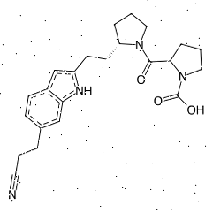 N#CCCc1ccc2cc(CC[C@@H]3CCCN3C(=O)C3CCCN3C(=O)O)[nH]c2c1